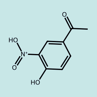 CC(=O)c1ccc(O)c([N+](=O)O)c1